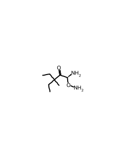 CCC(C)(CC)C(=O)[C@@H](N)ON